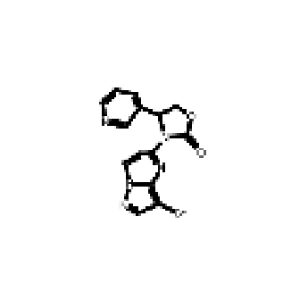 O=C1OCC(c2cccnc2)N1c1ccn2ncc(Br)c2n1